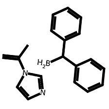 BC(c1ccccc1)c1ccccc1.C=C(C)n1ccnc1